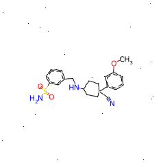 COc1cccc(C2(C#N)CCC(NCc3cccc(S(N)(=O)=O)c3)CC2)c1